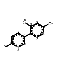 Cc1ccc(-c2ncc(Cl)cc2Cl)cn1